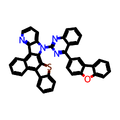 c1ccc2c(-c3ccc4oc5ccccc5c4c3)nc(-n3c4cccnc4c4c5ccccc5c5c6ccccc6sc5c43)nc2c1